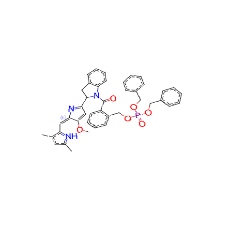 COC1=CC(C2Cc3ccccc3N2C(=O)c2ccccc2COP(=O)(OCc2ccccc2)OCc2ccccc2)=N/C1=C/c1[nH]c(C)cc1C